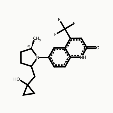 C[C@@H]1CCC(CC2(O)CC2)N1c1ccc2[nH]c(=O)cc(C(F)(F)F)c2c1